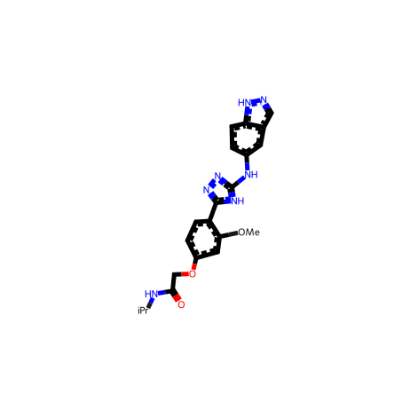 COc1cc(OCC(=O)NC(C)C)ccc1-c1nnc(Nc2ccc3[nH]ncc3c2)[nH]1